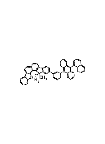 CC1(C)c2cc(-c3cccc(-c4c5ccccc5c(-c5cccc6ccccc56)c5ccccc45)c3)ccc2-c2ccc3ccc4c5ccccc5oc4c3c21